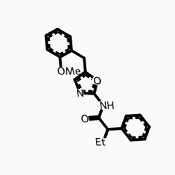 CCC(C(=O)Nc1ncc(Cc2ccccc2OC)o1)c1ccccc1